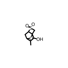 CC1C2CC3C(CS3(=O)=O)(O2)C1O